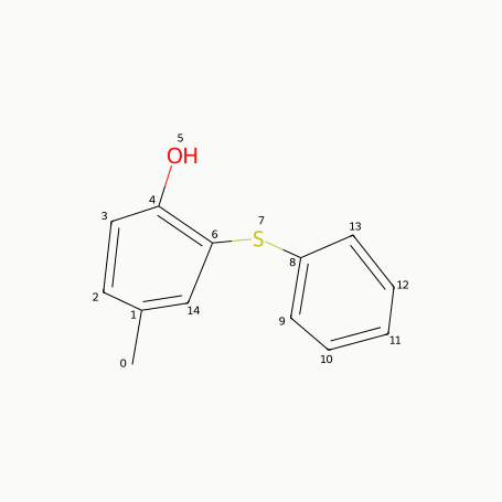 Cc1ccc(O)c(Sc2ccccc2)c1